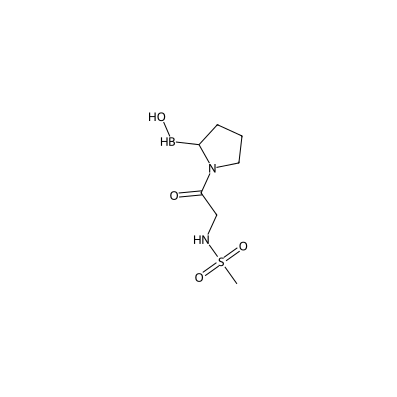 CS(=O)(=O)NCC(=O)N1CCCC1BO